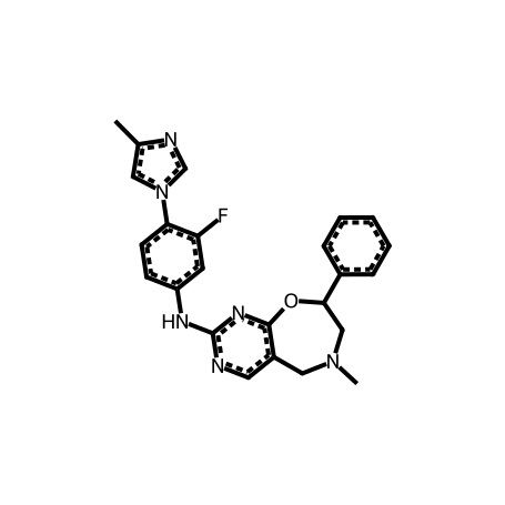 Cc1cn(-c2ccc(Nc3ncc4c(n3)OC(c3ccccc3)CN(C)C4)cc2F)cn1